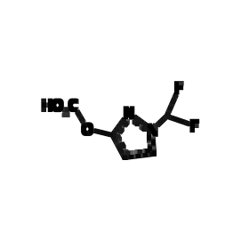 O=C(O)Oc1ccn(C(F)F)n1